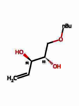 C=C[C@@H](O)[C@@H](O)COCCCC